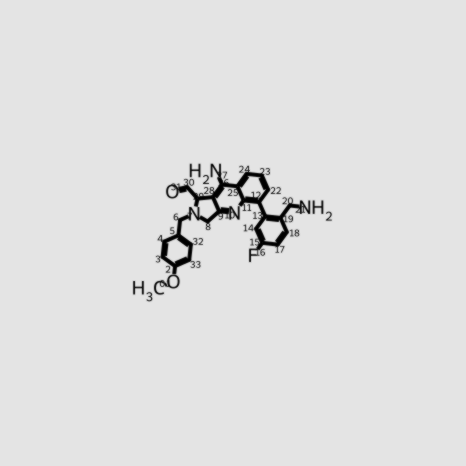 COc1ccc(CN2Cc3nc4c(-c5cc(F)ccc5CN)cccc4c(N)c3C2C=O)cc1